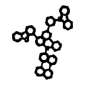 c1ccc(-c2cccc3cccc(-c4ccc(N(c5ccc(-c6cccc7c6oc6ccccc67)cc5)c5ccccc5-c5cccc(-c6cccc(-n7c8ccccc8c8ccccc87)c6)c5)cc4)c23)cc1